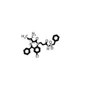 CC[C@H](C)[C@@H]1N=C(c2ccccc2)c2cc(Cl)ccc2N(CCC(=O)NS(=O)(=O)Cc2ccccc2)C1=O